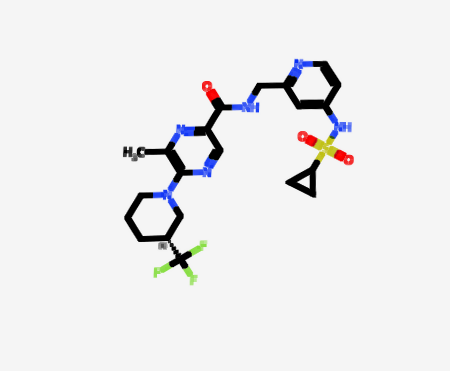 Cc1nc(C(=O)NCc2cc(NS(=O)(=O)C3CC3)ccn2)cnc1N1CCC[C@@H](C(F)(F)F)C1